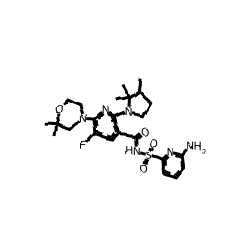 CC1CCN(c2nc(N3CCOC(C)(C)C3)c(F)cc2C(=O)NS(=O)(=O)c2cccc(N)n2)C1(C)C